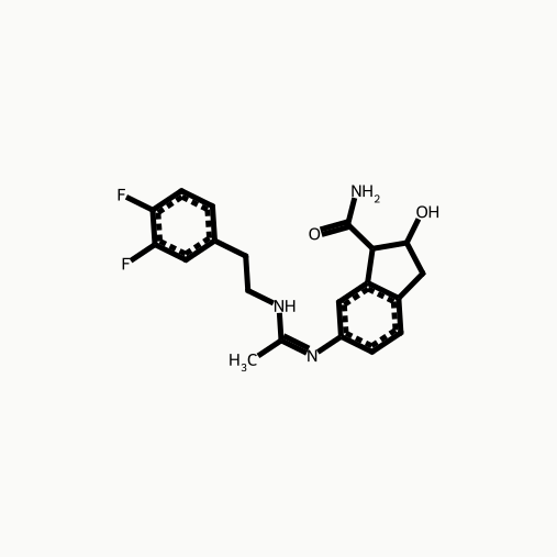 CC(=Nc1ccc2c(c1)C(C(N)=O)C(O)C2)NCCc1ccc(F)c(F)c1